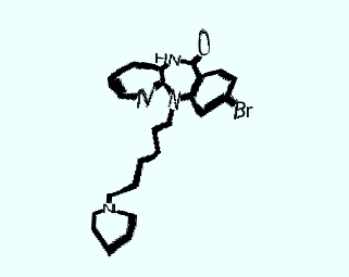 O=C1Nc2cccnc2N(CCCCCCN2CCCCC2)c2cc(Br)ccc21